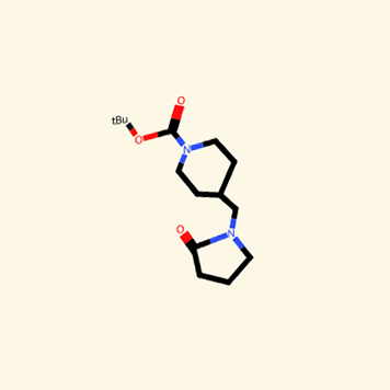 CC(C)(C)OC(=O)N1CCC(CN2CCCC2=O)CC1